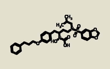 CC(C)CN(CCC(Cc1ccc(OCCCc2ccccc2)cc1)N(O)C(=O)O)S(=O)(=O)c1ccc2c(c1)OCO2